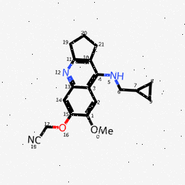 COc1cc2c(NCC3CC3)c3c(nc2cc1OCC#N)CCC3